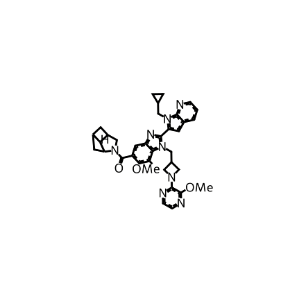 COc1nccnc1N1CC(Cn2c(-c3cc4cccnc4n3CC3CC3)nc3cc(C(=O)N4CC5CC6CC4[C@H]65)cc(OC)c32)C1